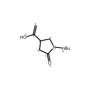 C=C(O)C1CC(=O)N(CCCC)C1